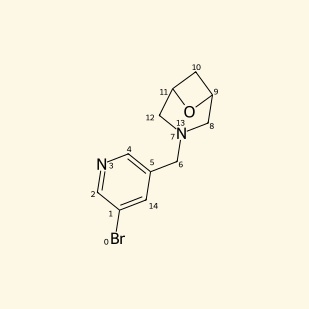 Brc1cncc(CN2CC3CC(C2)O3)c1